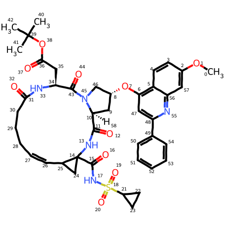 COc1ccc2c(O[C@@H]3C[C@H]4C(=O)NC5(C(=O)NS(=O)(=O)C6CC6)CC5/C=C\CCCC(=O)N[C@@H](CC(=O)OC(C)(C)C)C(=O)N4C3)cc(-c3ccccc3)nc2c1